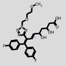 COCCOCn1nnc(C(/C=C/C(O)CC(O)CC(=O)O)=C(c2ccc(F)cc2)c2ccc(F)cc2)n1